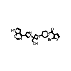 N#CCC1(n2cc(-c3ncnc4[nH]ccc34)cn2)CN(C2CCN(C(=O)c3ccsc3Br)CC2)C1